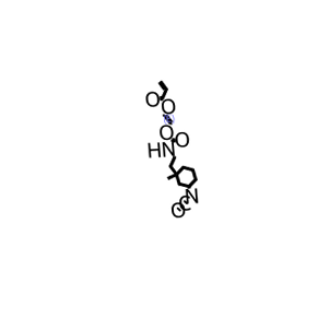 C=CC(=O)O/C=C/OC(=O)NCCC1(C)CCCC(N=C=O)C1